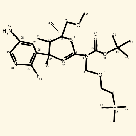 COC[C@@]1(C)SC(N(COCC[Si](C)(C)C)C(=O)OC(C)(C)C)=N[C@](C)(c2cc(N)cnc2F)C1C